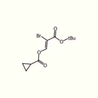 CC(C)(C)OC(=O)C(Br)=COC(=O)C1CC1